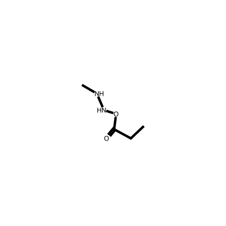 CCC(=O)ONNC